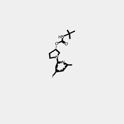 Cc1cc(I)cc(N2CC[C@H](OC(=O)NC(C)(C)C)C2)n1